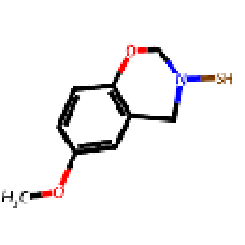 COc1ccc2c(c1)CN(S)CO2